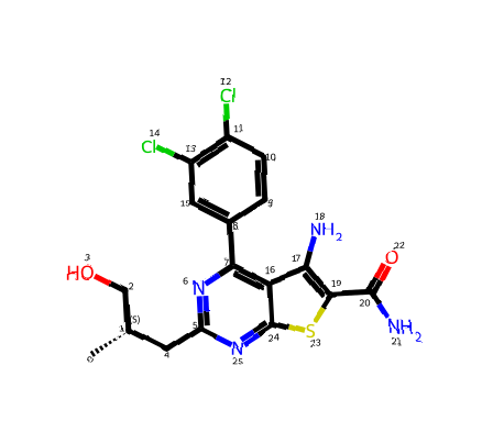 C[C@H](CO)Cc1nc(-c2ccc(Cl)c(Cl)c2)c2c(N)c(C(N)=O)sc2n1